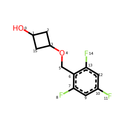 OC1CC(OCc2c(F)cc(F)cc2F)C1